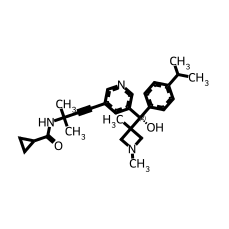 CC(C)c1ccc([C@](O)(c2cncc(C#CC(C)(C)NC(=O)C3CC3)c2)C2(C)CN(C)C2)cc1